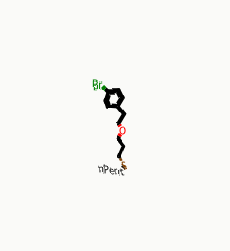 CCCCCSCCCOCCc1ccc(Br)cc1